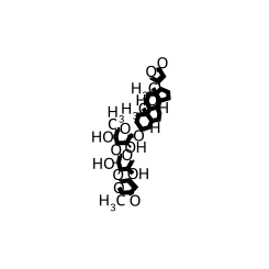 CC1O[C@@H](O[C@H]2C(O)COC(O[C@H]3C(O)C(C)OC(O[C@H]4CCC5(C)C6CCC7(C)[C@@H](C8=CC(=O)OC8)CC[C@]7(O)[C@@H]6CC[C@H]5C4)[C@H]3O)[C@H]2O)C=CC1=O